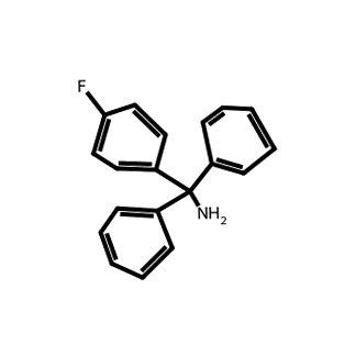 NC(c1ccccc1)(c1ccccc1)c1ccc(F)cc1